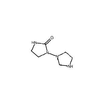 O=C1NCCN1N1CCNC1